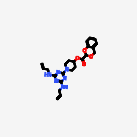 C=CCNc1nc(NCC=C)nc(N2CCC(OC(=O)C3OCc4ccccc4O3)CC2)n1